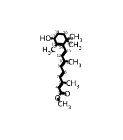 COC(=O)/C=C(C)/C=C/C=C(C)/C=C/C1=C(C)[C@@H](O)CCC1(C)C